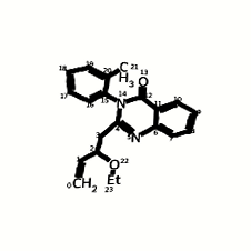 C=CC(Cc1nc2ccccc2c(=O)n1-c1ccccc1C)OCC